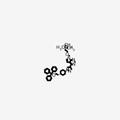 C[Si](C)(C)CCOCn1ccc2c(-c3cnn([C@H]4CC[C@@H](CCOC(c5ccccc5)(c5ccccc5)c5ccccc5)CC4)c3)ncnc21